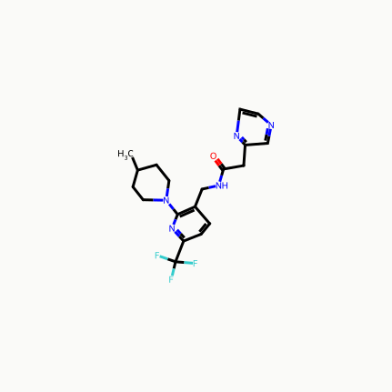 CC1CCN(c2nc(C(F)(F)F)ccc2CNC(=O)Cc2cnccn2)CC1